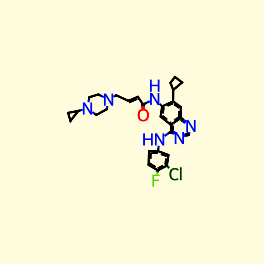 O=C(C=CCN1CCN(C2CC2)CC1)Nc1cc2c(Nc3ccc(F)c(Cl)c3)ncnc2cc1C1CCC1